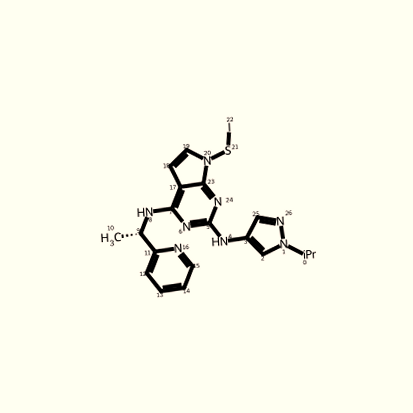 CC(C)n1cc(Nc2nc(N[C@@H](C)c3ccccn3)c3ccn(SI)c3n2)cn1